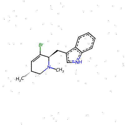 C[C@@H]1C=C(Br)[C@@H](Cc2c[nH]c3ccccc23)N(C)C1